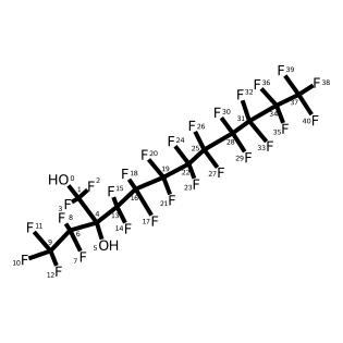 OC(F)(F)C(O)(C(F)(F)C(F)(F)F)C(F)(F)C(F)(F)C(F)(F)C(F)(F)C(F)(F)C(F)(F)C(F)(F)C(F)(F)C(F)(F)F